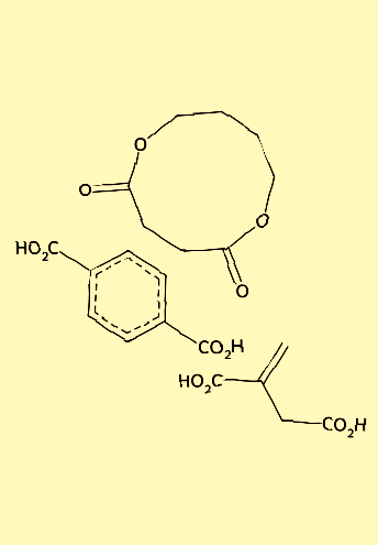 C=C(CC(=O)O)C(=O)O.O=C(O)c1ccc(C(=O)O)cc1.O=C1CCC(=O)OCCCCO1